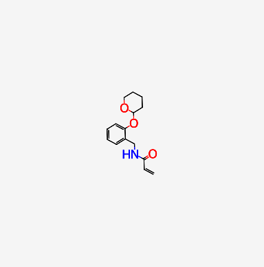 C=CC(=O)NCc1ccccc1OC1CCCCO1